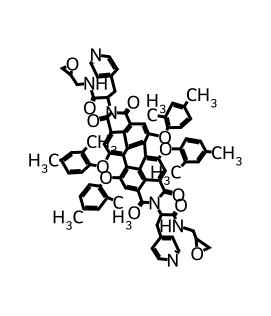 Cc1ccc(Oc2cc3c4c(cc(Oc5ccc(C)cc5C)c5c6c(Oc7ccc(C)cc7C)cc7c8c(cc(Oc9ccc(C)cc9C)c(c2c45)c86)C(=O)N(C(Cc2ccncc2)C(=O)NCC2CO2)C7=O)C(=O)N(C(Cc2ccncc2)C(=O)NCC2CO2)C3=O)c(C)c1